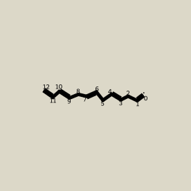 [CH]=CCC=CCC=CCC=CC=C